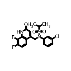 CC(C)S(=O)(=O)N(Cc1cc(=O)[nH]c2c(F)c(F)ccc12)c1cccc(Cl)c1